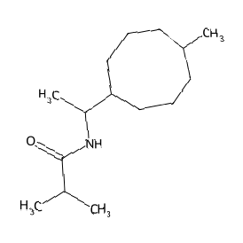 CC1CCCC(C(C)NC(=O)C(C)C)CCC1